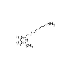 NCCCCCCCCCC(N)N=C(N)N